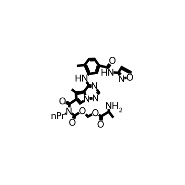 CCCN(C(=O)OCOC(=O)C(C)N)C(=O)c1cn2ncnc(Nc3cc(C(=O)Nc4ccon4)ccc3C)c2c1C